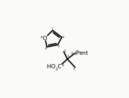 CCCC(C)C(C)(C)C(=O)O.c1ccoc1